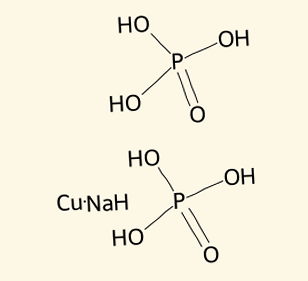 O=P(O)(O)O.O=P(O)(O)O.[Cu].[NaH]